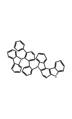 c1ccc(-c2cccc(-c3ccccc3-n3c4ccccc4c4c5c(ccc43)sc3ccccc35)c2-n2c3ccccc3c3ccccc32)cc1